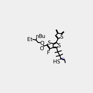 C=c1cc(-c2sc(C(C)(C)C(C)(C)/C(S)=C/C)c3c(F)c(C(=O)OCC(CC)CCCC)sc23)sc1=C